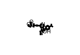 CC(C)c1ccc(C(O)(c2cncc(C#CC(C)(C)N3CCOC3=O)c2)C2(C)CN(C)C2)cc1